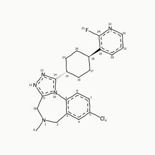 CN1Cc2cc(Cl)ccc2-n2c(nnc2[C@H]2CC[C@H](c3cccnc3F)CC2)C1